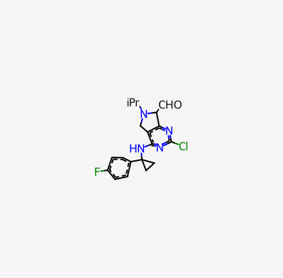 CC(C)N1Cc2c(NC3(c4ccc(F)cc4)CC3)nc(Cl)nc2C1C=O